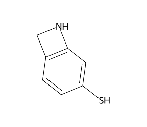 Sc1ccc2c(c1)NC2